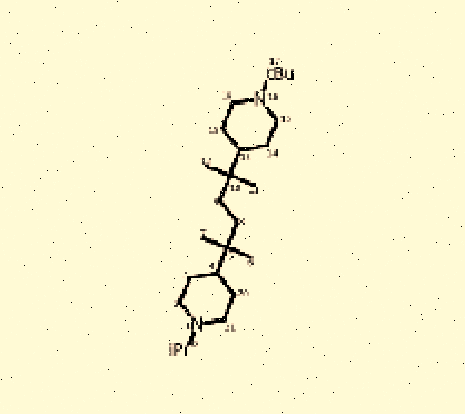 CC(C)N1CCC(C(C)(C)CCC(C)(C)C2CCN(C(C)(C)C)CC2)CC1